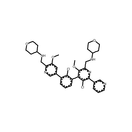 COc1cc(-c2cccc(-c3c(Cl)c(-c4cccnc4)nc(CNC4CCOCC4)c3OC)c2Cl)cnc1CNC1CCOCC1